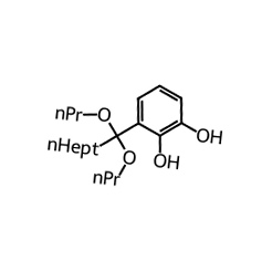 CCCCCCCC(OCCC)(OCCC)c1cccc(O)c1O